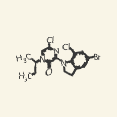 CCC(C)n1cc(Cl)nc(N2CCc3cc(Br)cc(Cl)c32)c1=O